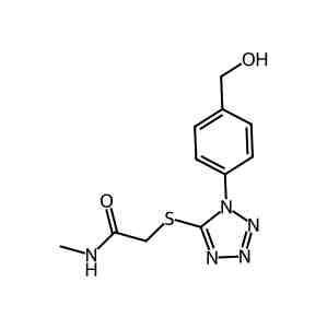 CNC(=O)CSc1nnnn1-c1ccc(CO)cc1